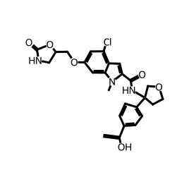 C=C(O)c1ccc(C2(NC(=O)c3cc4c(Cl)cc(OCC5CNC(=O)O5)cc4n3C)CCOC2)cc1